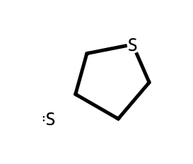 C1CCSC1.[S]